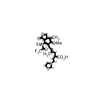 CCN(C(=O)C(F)(F)F)c1c(C/C=C(\C)CC(CCN2CCSC2)C(=O)O)c(OC)c(C)c2c1C(=O)OC2